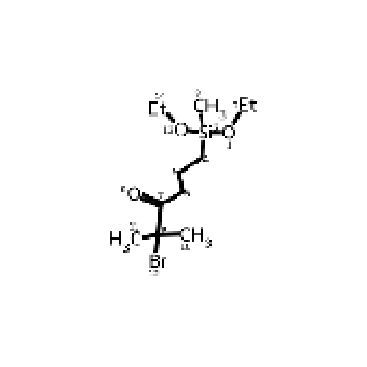 CCO[Si](C)(CCCC(=O)C(C)(C)Br)OCC